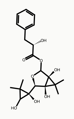 CC1(C)C(O)[C@@]1(O)[C@H]1OC(OC(=O)[C@@H](O)Cc2ccccc2)[C@]2(O)C(C)(C)[C@]12O